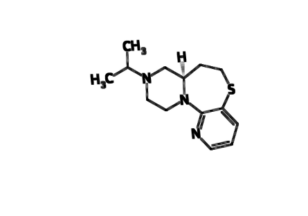 CC(C)N1CCN2c3ncccc3SCC[C@@H]2C1